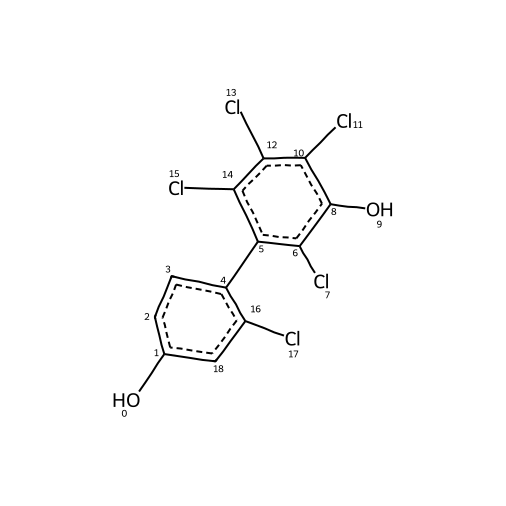 Oc1ccc(-c2c(Cl)c(O)c(Cl)c(Cl)c2Cl)c(Cl)c1